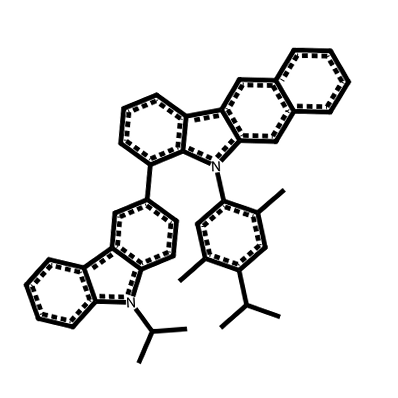 Cc1cc(-n2c3cc4ccccc4cc3c3cccc(-c4ccc5c(c4)c4ccccc4n5C(C)C)c32)c(C)cc1C(C)C